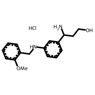 COc1ccccc1CNc1cccc(C(N)CCO)c1.Cl